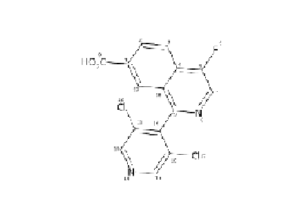 O=C(O)c1ccc2c(F)cnc(-c3c(Cl)cncc3Cl)c2c1